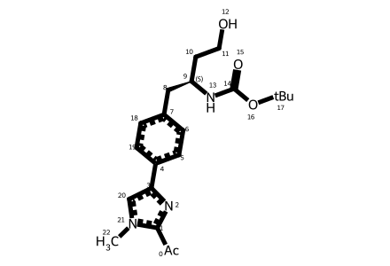 CC(=O)c1nc(-c2ccc(C[C@@H](CCO)NC(=O)OC(C)(C)C)cc2)cn1C